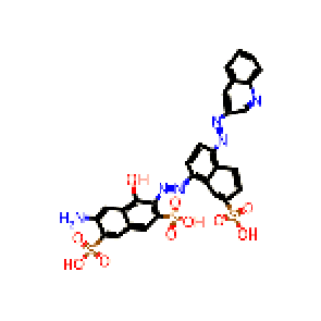 Nc1cc2c(O)c(N=Nc3ccc(N=Nc4cnc5ccccc5c4)c4ccc(S(=O)(=O)O)cc34)c(S(=O)(=O)O)cc2cc1S(=O)(=O)O